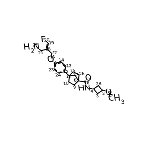 CO[C@H]1C[C@@H](NC(=O)C23CCC(c4ccc(OC/C(=C/F)CN)cc4)(CC2)C3)C1